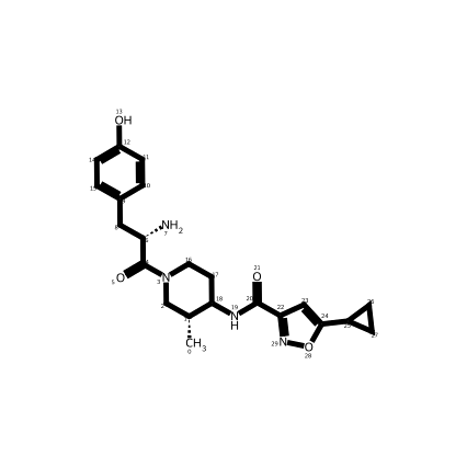 C[C@@H]1CN(C(=O)[C@@H](N)Cc2ccc(O)cc2)CCC1NC(=O)c1cc(C2CC2)on1